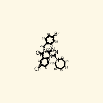 O=c1c2cc(Cl)ccc2n2c(N3CCCCCC3)nnc2n1Cc1ccc(Br)cc1